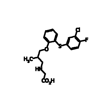 CC(CNCC(=O)O)COc1ccccc1Sc1ccc(F)c(Cl)c1